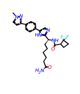 Cn1ccc(-c2ccc(-c3cnc([C@H](CCCCCC(N)=O)NC(=O)C4CCC4(F)F)[nH]3)cc2)n1